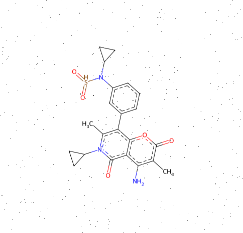 Cc1c(N)c2c(=O)n(C3CC3)c(C)c(-c3cccc(N(C4CC4)[SH](=O)=O)c3)c2oc1=O